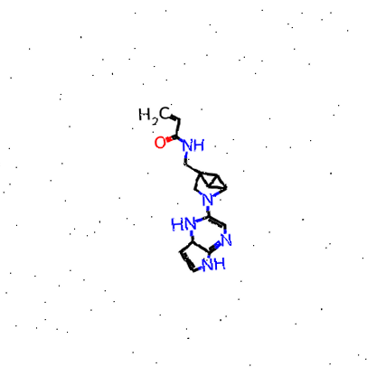 C=CC(=O)NCC12CN(C3=CN=C4NC=CC4N3)C3C1C32